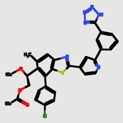 Cc1cc2nc(-c3ccnc(-c4cccc(-c5nnn[nH]5)c4)c3)sc2c(-c2ccc(Cl)cc2)c1[C@@H](COC(=O)C(C)(C)C)OC(C)(C)C